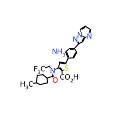 CC1CCC(C(=O)N(CC(F)(F)F)c2cc(-c3ccc(-c4cc5ncccn5n4)cc3)sc2C(=O)O)CC1.N